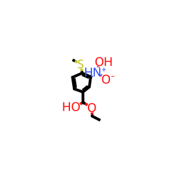 CCOC(O)c1ccc(SC)c([NH+]([O-])O)c1